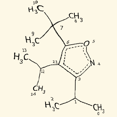 CC(C)c1noc(C(C)(C)C)c1C(C)C